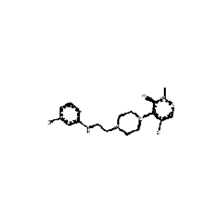 Cn1ncc(Cl)c(N2CCN(CCNc3cccc(Cl)c3)CC2)c1=O